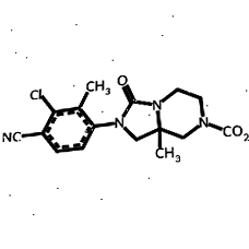 Cc1c(N2CC3(C)CN(C(=O)O)CCN3C2=O)ccc(C#N)c1Cl